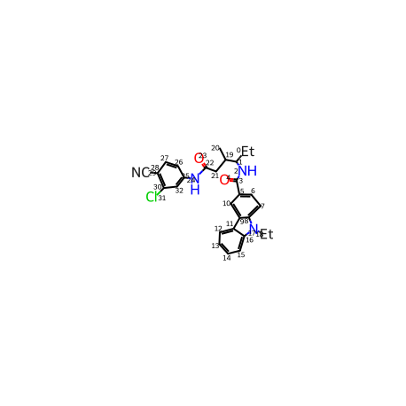 CCC(NC(=O)c1ccc2c(c1)c1ccccc1n2CC)C(C)CC(=O)Nc1ccc(C#N)c(Cl)c1